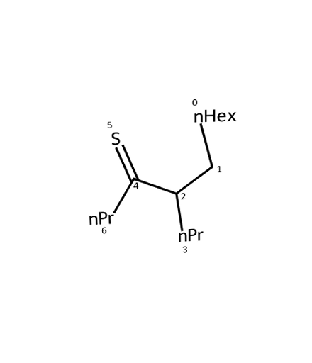 CCCCCCCC(CCC)C(=S)CCC